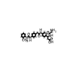 Cc1ccccc1NC(=O)Nc1ccc(CC(=O)Nc2ccc(C(CC(=O)O)NC(=O)CN)nc2)cc1